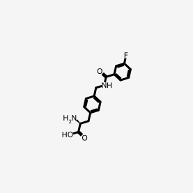 N[C@@H](Cc1ccc(CNC(=O)c2cccc(F)c2)cc1)C(=O)O